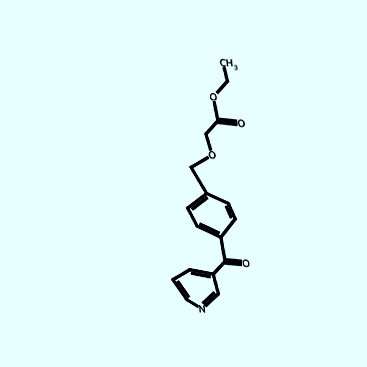 CCOC(=O)COCc1ccc(C(=O)c2cccnc2)cc1